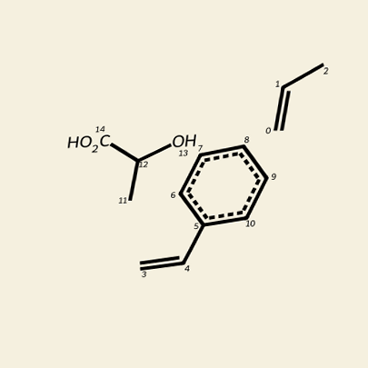 C=CC.C=Cc1ccccc1.CC(O)C(=O)O